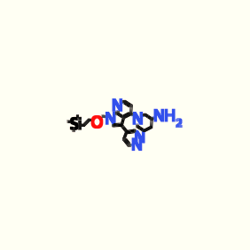 C[Si](C)(C)CCOCn1cc(-c2ccnnc2)c2c(N3CCC[C@H](N)C3)ccnc21